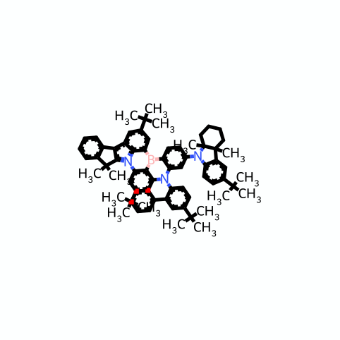 CC(C)(C)c1ccc(N2c3cc(N4c5ccc(C(C)(C)C)cc5C5(C)CCCCC45C)ccc3B3c4c2cc(C(C)(C)C)cc4-n2c4c(c5cc(C(C)(C)C)cc3c52)-c2ccccc2C4(C)C)c(-c2ccccc2)c1